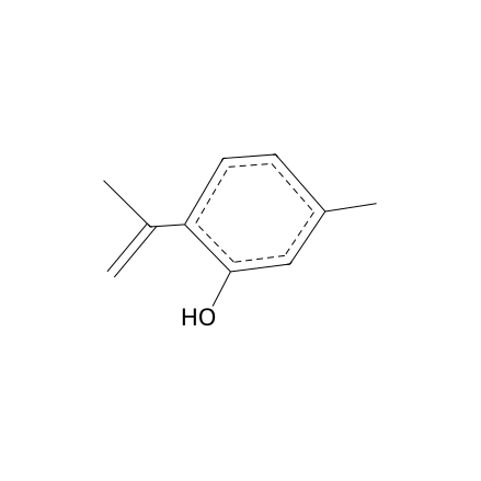 C=C(C)c1ccc(C)cc1O